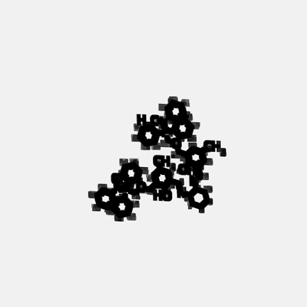 Cc1cc(/C=N/C2CCCCC2/N=C/c2cc(C)cc(COCP(c3ccccc3)(c3ccccc3)=[N+](C)c3ccccc3)c2O)c(O)c(COCP(c2ccccc2)(c2ccccc2)=[N+](C)c2ccccc2)c1